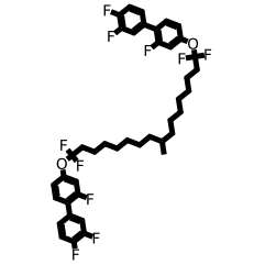 CC(CCCCCCCC(F)(F)Oc1ccc(-c2ccc(F)c(F)c2)c(F)c1)CCCCCCCC(F)(F)Oc1ccc(-c2ccc(F)c(F)c2)c(F)c1